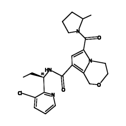 CC[C@@H](NC(=O)c1cc(C(=O)N2CCCC2C)n2c1COCC2)c1ncccc1Cl